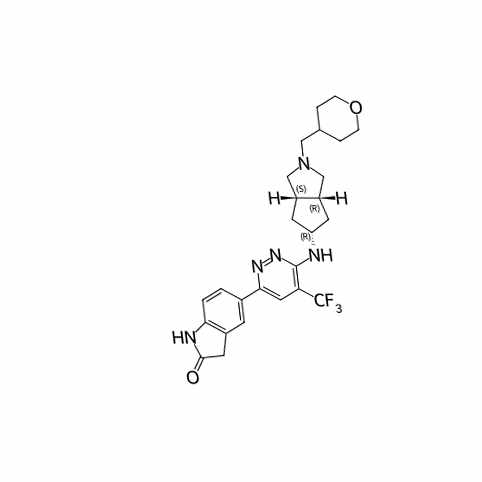 O=C1Cc2cc(-c3cc(C(F)(F)F)c(N[C@@H]4C[C@@H]5CN(CC6CCOCC6)C[C@@H]5C4)nn3)ccc2N1